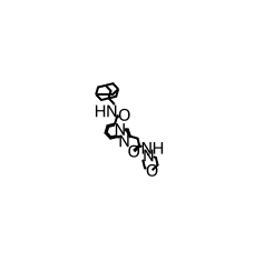 O=C(Cc1cn2c(C(=O)NCC34CC5CC(CC(C5)C3)C4)cccc2n1)NN1CCOCC1